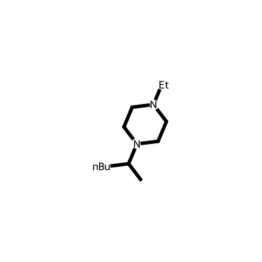 CCCCC(C)N1CCN(CC)CC1